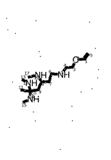 C=COCCNCCC(CC(C)(NC)NC)NC